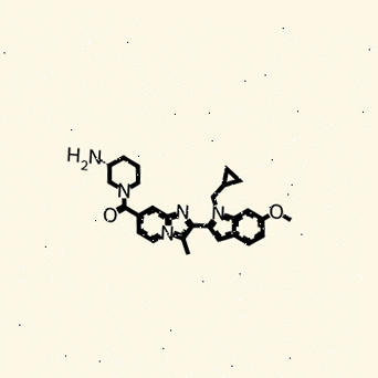 COc1ccc2cc(-c3nc4cc(C(=O)N5CCC[C@@H](N)C5)ccn4c3C)n(CC3CC3)c2c1